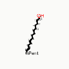 CCCCCC=CCC=CCCCCCCCCCO